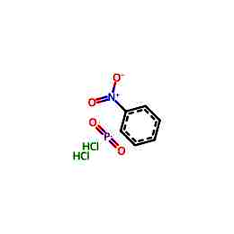 Cl.Cl.O=[N+]([O-])c1ccccc1.O=[P]=O